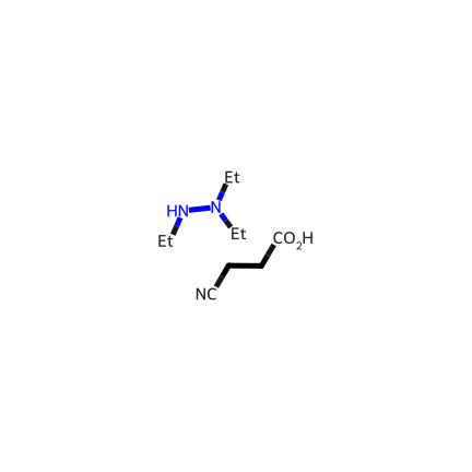 CCNN(CC)CC.N#CCCC(=O)O